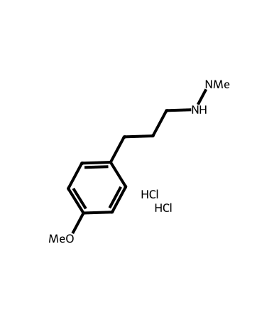 CNNCCCc1ccc(OC)cc1.Cl.Cl